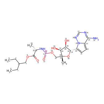 CCC(CC)COC(=O)[C@H](C)N[PH](=O)OC[C@@]1(C)O[C@@H](c2ccc3c(N)ncnn23)[C@H](O)[C@@H]1O